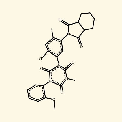 COc1ccccc1-n1c(=O)n(C)c(=O)n(-c2cc(N3C(=O)C4CCCCC4C3=O)c(F)cc2Cl)c1=O